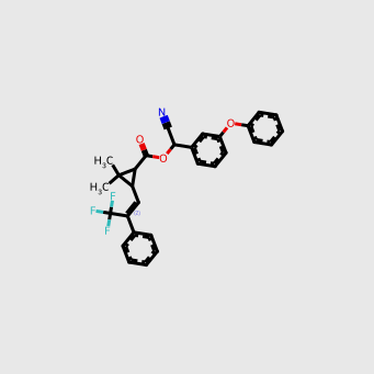 CC1(C)C(/C=C(/c2ccccc2)C(F)(F)F)C1C(=O)OC(C#N)c1cccc(Oc2ccccc2)c1